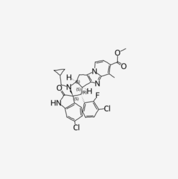 COC(=O)c1ccn2c3c(nc2c1C)[C@@H]1[C@H](C3)N(CC2CC2)[C@@]2(C(=O)Nc3cc(Cl)ccc32)[C@H]1c1cccc(Cl)c1F